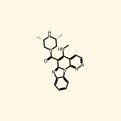 CNc1c(C(=O)N2C[C@@H](C)N[C@@H](C)C2)c2nc3ccccc3n2c2nnccc12